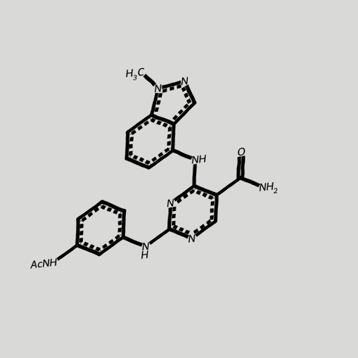 CC(=O)Nc1cccc(Nc2ncc(C(N)=O)c(Nc3cccc4c3cnn4C)n2)c1